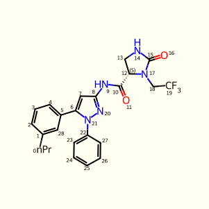 CCCc1cccc(-c2cc(NC(=O)[C@@H]3CNC(=O)N3CC(F)(F)F)nn2-c2ccccc2)c1